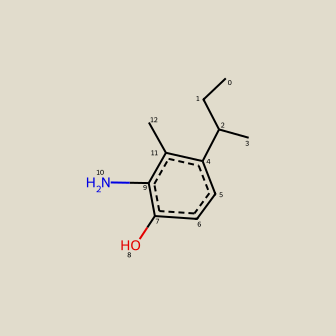 CCC(C)c1ccc(O)c(N)c1C